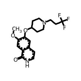 COc1cc2c(=O)[nH]ccc2cc1OC1CCN(CCC(F)(F)F)CC1